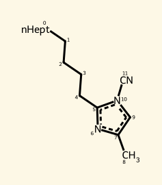 CCCCCCCCCCCc1nc(C)cn1C#N